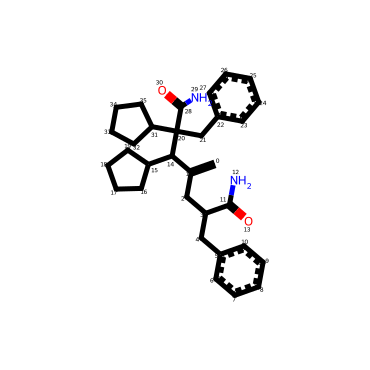 C=C(CC(Cc1ccccc1)C(N)=O)C(C1CCCC1)C(Cc1ccccc1)(C(N)=O)C1CCCC1